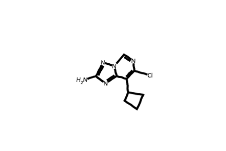 Nc1nc2c(C3CCC3)c(Cl)ncn2n1